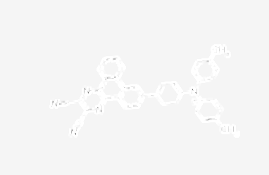 CC1=CC[C@H](N(C2=CC=C(c3ccc4c(c3)c3ccccc3c3nc(C#N)c(C#N)nc43)CC2)c2ccc(C)cc2)C=C1